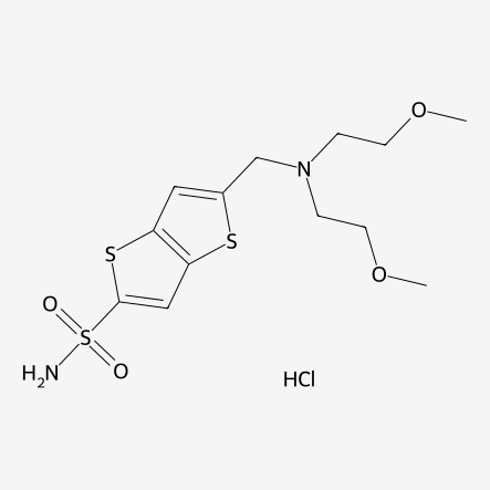 COCCN(CCOC)Cc1cc2sc(S(N)(=O)=O)cc2s1.Cl